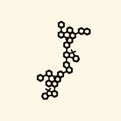 CC1(C)c2ccccc2-c2cccc(-c3ccc(N(c4ccc(-c5cccc6cc(-c7ccc(-c8ccc(N(c9ccc(-c%10ccc%11ccccc%11c%10)cc9)c9cccc(-c%10ccccc%10)c9-c9ccccc9-c9ccccc9)cc8)c8c7-c7ccccc7C8(C)C)ccc56)cc4)c4cccc(-c5ccccc5)c4-c4ccccc4-c4ccccc4)cc3)c21